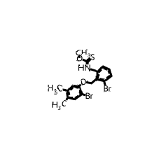 COC(=S)Nc1cccc(Br)c1COc1cc(C)c(C)cc1Br